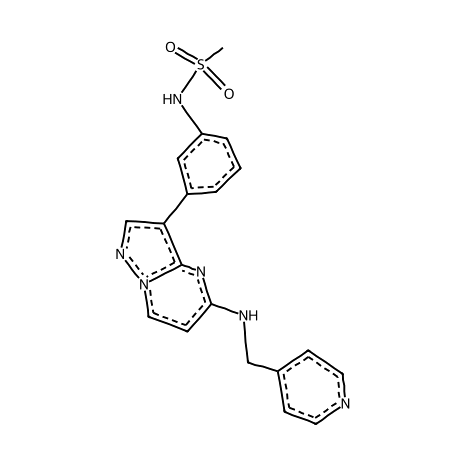 CS(=O)(=O)Nc1cccc(-c2cnn3ccc(NCc4ccncc4)nc23)c1